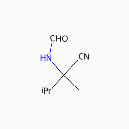 CC(C)C(C)(C#N)NC=O